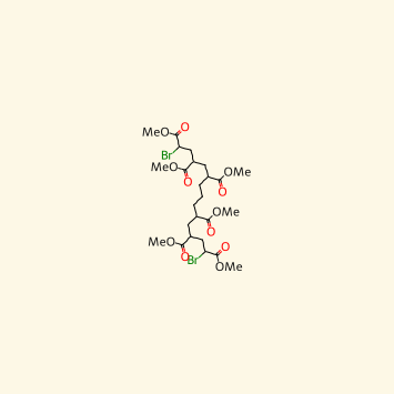 COC(=O)C(Br)CC(CC(CCCC(CC(CC(Br)C(=O)OC)C(=O)OC)C(=O)OC)C(=O)OC)C(=O)OC